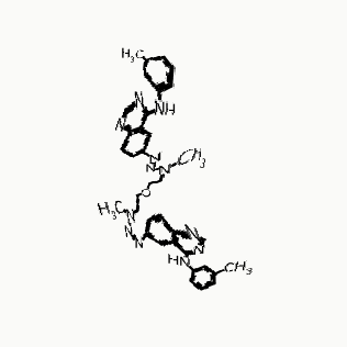 Cc1cccc(Nc2ncnc3ccc(/N=N\N(C)CCOCCN(C)/N=N/c4ccc5ncnc(Nc6cccc(C)c6)c5c4)cc23)c1